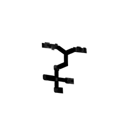 CCCCCCCCC(CCCCCCC)COP(=O)(O)O